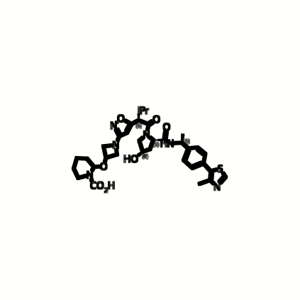 Cc1ncsc1-c1ccc([C@H](C)NC(=O)[C@@H]2C[C@@H](O)CN2C(=O)[C@H](c2cc(N3CC(OC4CCCCN4C(=O)O)C3)no2)C(C)C)cc1